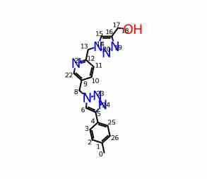 Cc1ccc(-c2cn(Cc3ccc(Cn4cc(CO)nn4)nc3)nn2)cc1